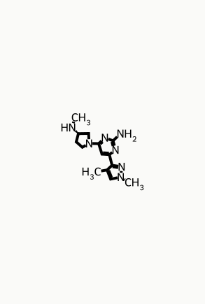 CN[C@@H]1CCN(c2cc(-c3nn(C)cc3C)nc(N)n2)C1